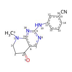 CN1CCC(=O)c2cnc(Nc3cccc(C#N)c3)nc21